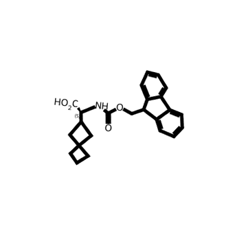 O=C(N[C@H](C(=O)O)C1CC2(CCC2)C1)OCC1c2ccccc2-c2ccccc21